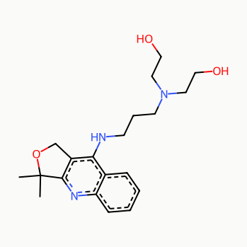 CC1(C)OCc2c1nc1ccccc1c2NCCCN(CCO)CCO